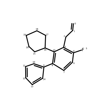 C=CCc1c(F)ccc(-c2ccccc2)c1C1CCCCC1